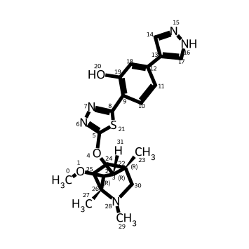 COC1[C@H](Oc2nnc(-c3ccc(-c4cn[nH]c4)cc3O)s2)[C@]2(C)CC[C@@]1(C)N(C)C2